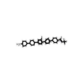 CC1CCC(C2CCC(c3ccc(-c4ccc(C5CCC(/C(F)=C/C(F)(F)F)CC5)cc4)c(F)c3)CC2)CC1